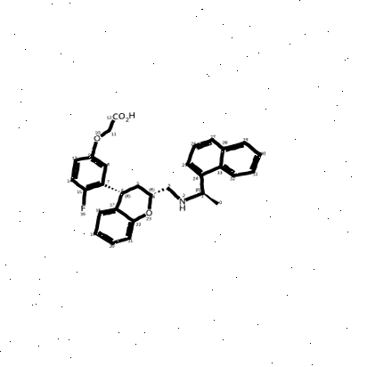 C[C@@H](NC[C@H]1C[C@@H](c2cc(OCC(=O)O)ccc2F)c2ccccc2O1)c1cccc2ccccc12